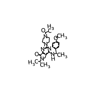 COc1ccc([C@H](C)Nc2nc(N3CCN(C(C)=O)CC3)nc3c2CN(C(C)C)C3=O)cc1